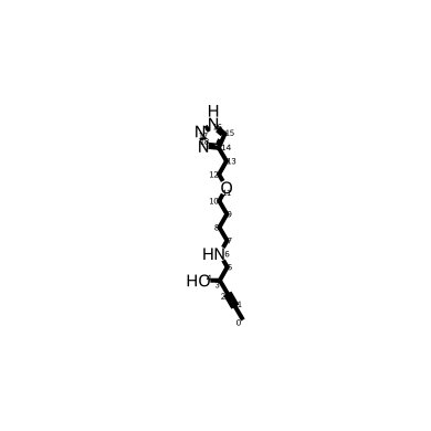 CC#CC(O)CNCCCCOCCc1c[nH]nn1